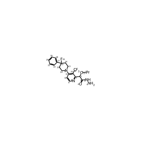 CC(C)OC(C(=O)NN)c1nccc(N2CCC(F)(c3ccccc3)CC2)c1C(F)(F)F